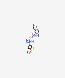 CCOc1ccc(-c2nnc(SCC(=O)Nc3cccc(C)c3F)[nH]2)cc1F